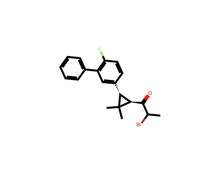 CC(Br)C(=O)[C@@H]1[C@@H](c2ccc(F)c(-c3ccccc3)c2)C1(C)C